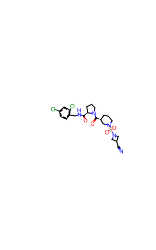 N#CC1CN(S(=O)(=O)N2CCC[C@H](C(=O)N3CCC[C@@H]3C(=O)NCc3ccc(Cl)cc3Cl)C2)C1